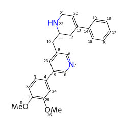 COc1ccc(-c2cncc(CC3CC(c4ccccc4)=CCN3)c2)cc1OC